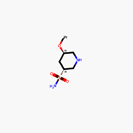 CC(C)O[C@H]1CNC[C@H](S(N)(=O)=O)C1